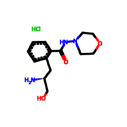 Cl.N[C@@H](CO)Cc1ccccc1C(=O)NN1CCOCC1